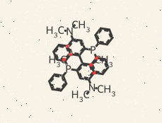 Cc1cc(N(C)C)cc(P(c2ccccc2)c2ccccc2)c1-c1c(C)cc(N(C)C)cc1P(c1ccccc1)c1ccccc1